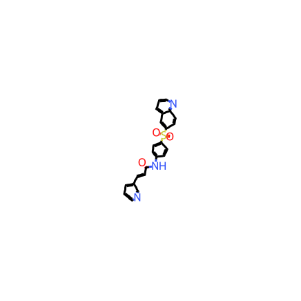 O=C(C=Cc1cccnc1)Nc1ccc(S(=O)(=O)c2ccc3ncccc3c2)cc1